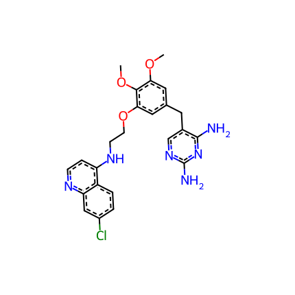 COc1cc(Cc2cnc(N)nc2N)cc(OCCNc2ccnc3cc(Cl)ccc23)c1OC